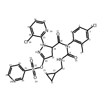 Cc1cc(Cl)ccc1N(C(=O)NCC1CC1)C(=O)C1CC(OS(=O)(=O)c2cccnc2)=NN1c1ncccc1Cl